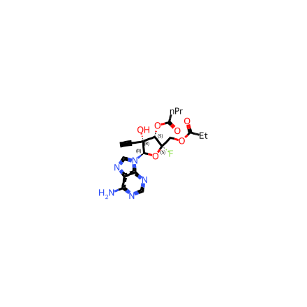 C#C[C@]1(O)[C@H](n2cnc3c(N)ncnc32)O[C@](F)(COC(=O)CC)[C@H]1OC(=O)CCC